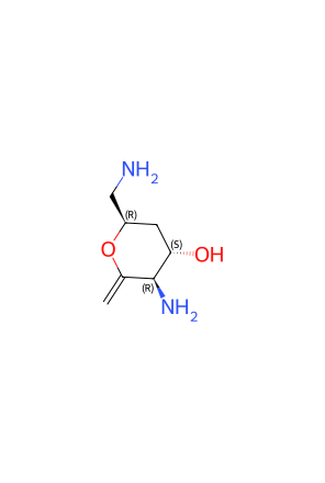 C=C1O[C@@H](CN)C[C@H](O)[C@H]1N